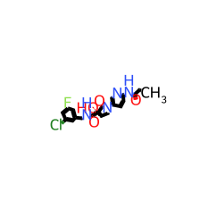 CCC(=O)Nc1ccc(N2CC[C@@](O)(C(=O)NCc3cc(F)cc(Cl)c3)C2=O)cn1